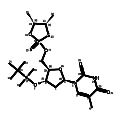 Cc1cn([C@H]2C[C@H](O[Si](C)(C)C(C)(C)C)[C@@H](COP3(=S)O[C@H](C)[C@H](C)S3)O2)c(=O)[nH]c1=O